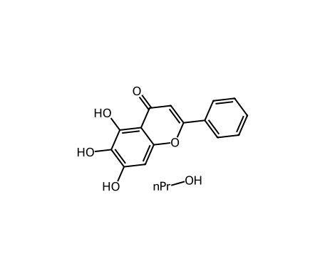 CCCO.O=c1cc(-c2ccccc2)oc2cc(O)c(O)c(O)c12